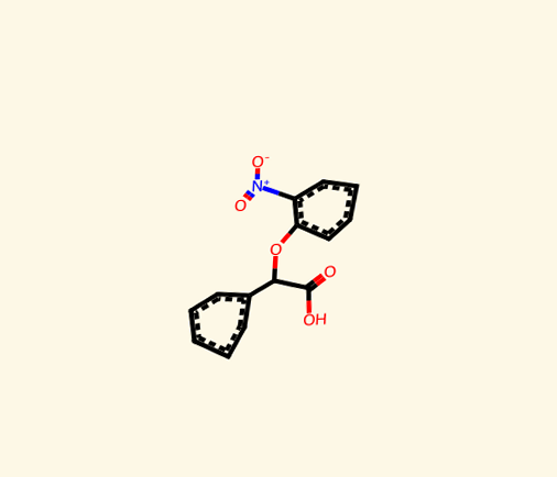 O=C(O)C(Oc1ccccc1[N+](=O)[O-])c1ccccc1